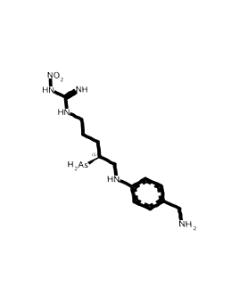 N=C(NCCC[C@H]([AsH2])CNc1ccc(CN)cc1)N[N+](=O)[O-]